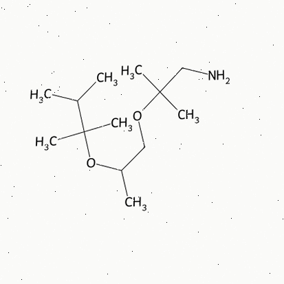 CC(COC(C)(C)CN)OC(C)(C)C(C)C